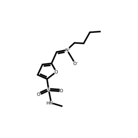 CCCC[N+]([O-])=Cc1ccc(S(=O)(=O)NC)o1